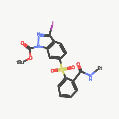 CCNC(=O)c1ccccc1S(=O)(=O)c1ccc2c(I)nn(C(=O)OC(C)(C)C)c2c1